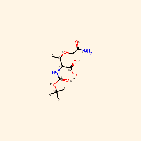 CC(OCC(N)=O)C(NC(=O)OC(C)(C)C)C(=O)O